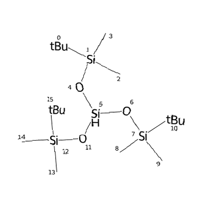 CC(C)(C)[Si](C)(C)O[SiH](O[Si](C)(C)C(C)(C)C)O[Si](C)(C)C(C)(C)C